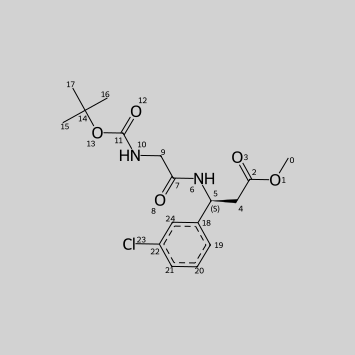 COC(=O)C[C@H](NC(=O)CNC(=O)OC(C)(C)C)c1cccc(Cl)c1